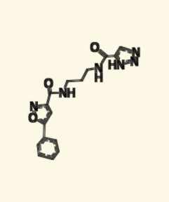 O=C(NCCCNC(=O)c1cnn[nH]1)c1cc(-c2ccccc2)on1